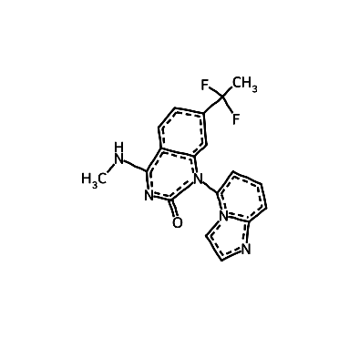 CNc1nc(=O)n(-c2cccc3nccn23)c2cc(C(C)(F)F)ccc12